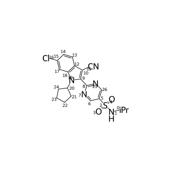 CC(C)NS(=O)(=O)c1cnc(-c2c(C#N)c3ccc(Cl)cc3n2C2CCCC2)nc1